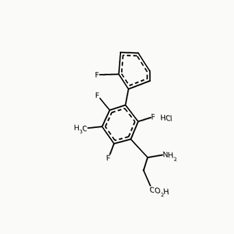 Cc1c(F)c(-c2ccccc2F)c(F)c(C(N)CC(=O)O)c1F.Cl